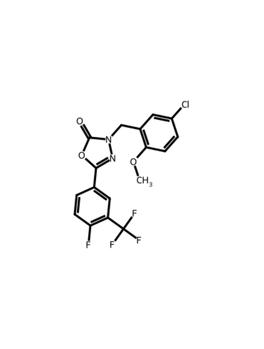 COc1ccc(Cl)cc1Cn1nc(-c2ccc(F)c(C(F)(F)F)c2)oc1=O